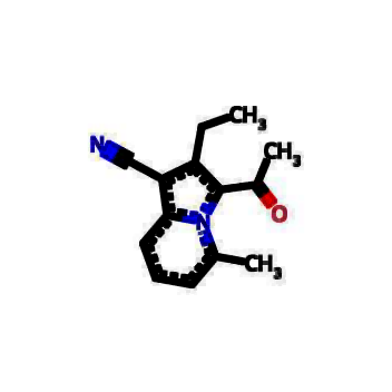 CCc1c(C#N)c2cccc(C)n2c1C(C)=O